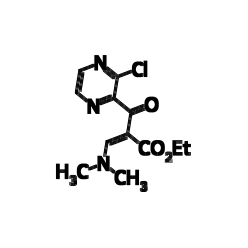 CCOC(=O)C(=CN(C)C)C(=O)c1nccnc1Cl